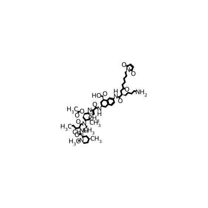 CC[C@H](C)[C@H](NC(=O)[C@H]1C[C@H](C)CCN1C)C(=O)N(CC)C(C[C@@H](OC(C)=O)c1nc(C(=O)N[C@H]2Cc3ccc(NC(=O)[C@H](CCCCN)CC(=O)CCCCCN4C(=O)C=CC4=O)cc3[C@H](C(=O)O)C2)cs1)C(C)C